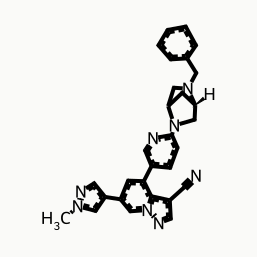 Cn1cc(-c2cc(-c3ccc(N4C[C@@H]5CC4CN5Cc4ccccc4)nc3)c3c(C#N)cnn3c2)cn1